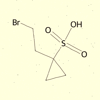 O=S(=O)(O)C1(CCBr)CC1